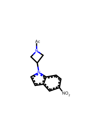 CC(=O)N1CC(n2ccc3cc([N+](=O)[O-])ccc32)C1